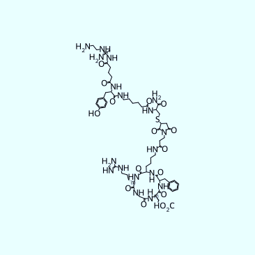 C[C@@](N)(NCCN)NC(=O)CCCC(=O)NC(Cc1ccc(O)cc1)C(=O)NCCCCCC(=O)NC(CSC1CC(=O)N(CCC(=O)NCCCCC2NC(=O)C(Cc3ccccc3)NC(=O)[C@@H](CC(=O)O)NC(=O)CNC(=O)[C@H](CCCNC(=N)N)NC2=O)C1=O)C(N)=O